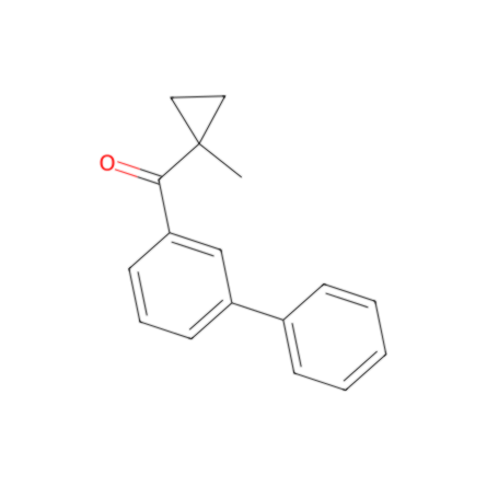 CC1(C(=O)c2cccc(-c3ccccc3)c2)CC1